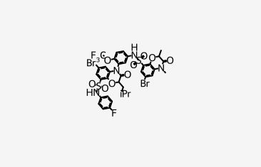 CC(C)CC1Oc2c(cc(Br)cc2S(=O)(=O)Nc2ccc(F)cc2)N(c2cc(NS(=O)(=O)c3cc(Br)cc4c3OC(C)C(=O)N4C)ccc2OC(F)(F)F)C1=O